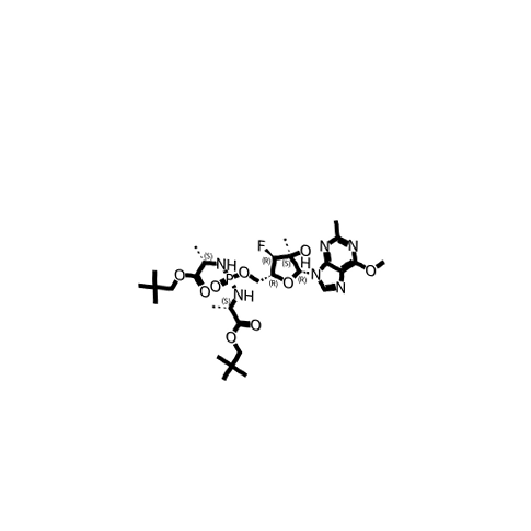 COc1nc(C)nc2c1ncn2[C@@H]1O[C@H](COP(=O)(N[C@@H](C)C(=O)OCC(C)(C)C)N[C@@H](C)C(=O)OCC(C)(C)C)[C@@H](F)[C@@]1(C)O